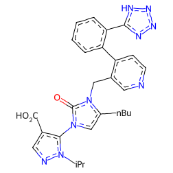 CCCCc1cn(-c2c(C(=O)O)cnn2C(C)C)c(=O)n1Cc1cnccc1-c1ccccc1-c1nnn[nH]1